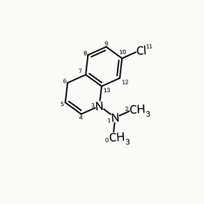 CN(C)N1C=CCc2ccc(Cl)cc21